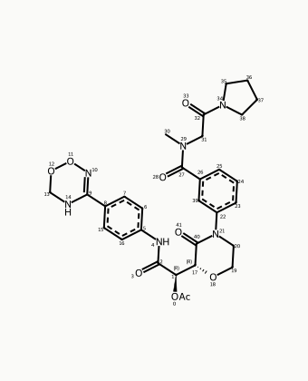 CC(=O)O[C@@H](C(=O)Nc1ccc(C2=NOOCN2)cc1)[C@H]1OCCN(c2cccc(C(=O)N(C)CC(=O)N3CCCC3)c2)C1=O